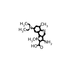 CCN(CC)c1cc(C)c2ncc3c(N)c(C(=O)O)n(C)c3c2c1